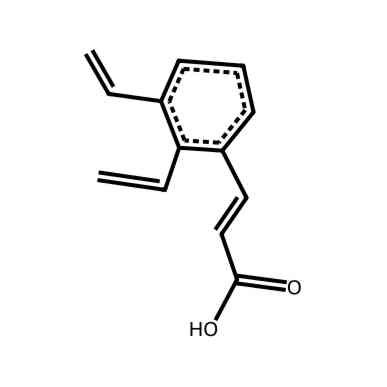 C=Cc1cccc(C=CC(=O)O)c1C=C